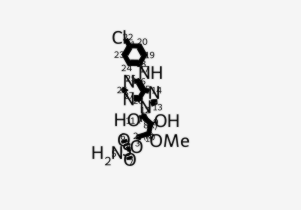 CO[C@H](COS(N)(=O)=O)[C@@H](O)[C@@H](O)n1cnc2c(Nc3ccc(Cl)cc3)ncnc21